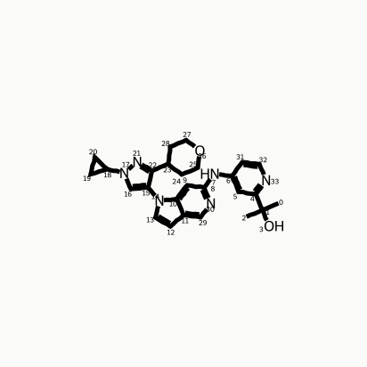 CC(C)(O)c1cc(Nc2cc3c(ccn3-c3cn(C4CC4)nc3C3CCOCC3)cn2)ccn1